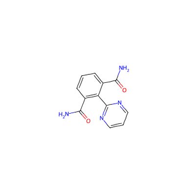 NC(=O)c1cccc(C(N)=O)c1-c1ncccn1